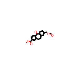 COC(=O)c1ccc2c(c1)CCc1cc(COC=O)ccc1C2=O